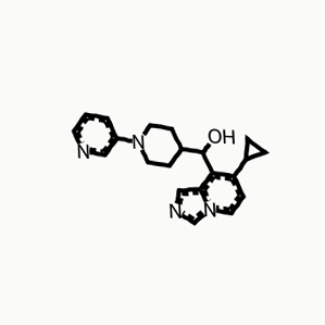 OC(c1c(C2CC2)ccn2cncc12)C1CCN(c2cccnc2)CC1